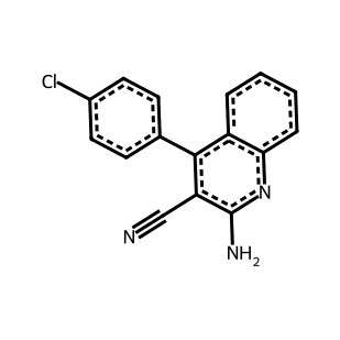 N#Cc1c(N)nc2ccccc2c1-c1ccc(Cl)cc1